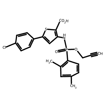 C#CCOP(=O)(Nc1cc(-c2ccc(Cl)cc2)sc1C(=O)O)c1ccc(C)cc1C